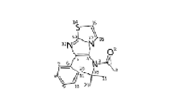 CC(=O)N(c1c(-c2ccccc2)nc2sccn12)C(C)(C)C